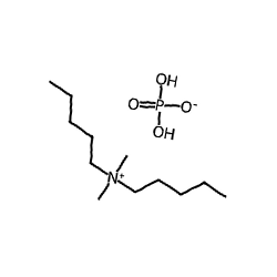 CCCCC[N+](C)(C)CCCCC.O=P([O-])(O)O